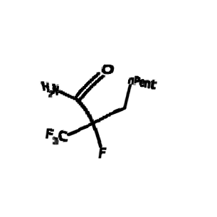 CCCCCCC(F)(C(N)=O)C(F)(F)F